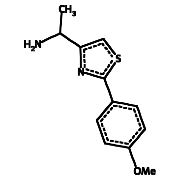 COc1ccc(-c2nc(C(C)N)cs2)cc1